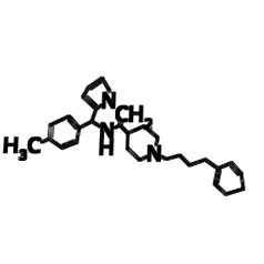 C=C(NC(c1ccc(C)cc1)c1ccccn1)C1CCN(CCCCC2=CCCC=C2)CC1